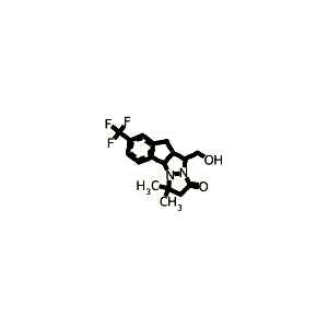 CC1(C)CC(=O)N2C(CO)C3Cc4cc(C(F)(F)F)ccc4C3N21